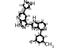 Cc1cc(F)cc(-c2nccc3[nH]c(-c4n[nH]c5ncc(-c6cn[nH]c6)cc45)nc23)c1